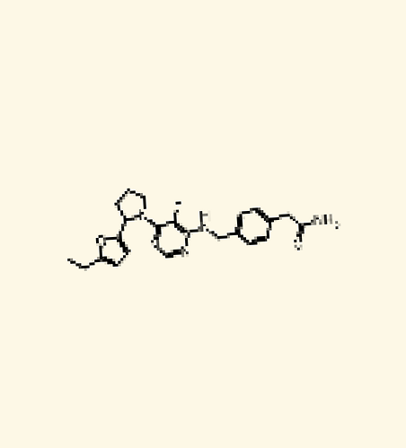 CCc1ccc(C2CCCN2c2ncnc(NCc3ccc(CC(N)=O)cc3)c2F)o1